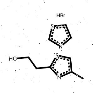 Br.Cc1csc(CCO)n1.c1cscn1